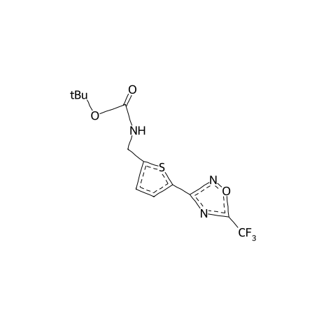 CC(C)(C)OC(=O)NCc1ccc(-c2noc(C(F)(F)F)n2)s1